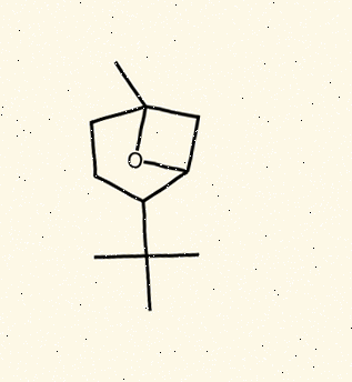 CC12CCC(C(C)(C)C)C(C1)O2